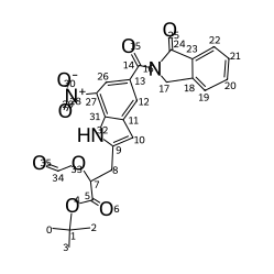 CC(C)(C)OC(=O)C(Cc1cc2cc(C(=O)N3Cc4ccccc4C3=O)cc([N+](=O)[O-])c2[nH]1)OC=O